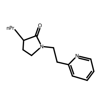 CCCC1CCN(CCc2ccccn2)C1=O